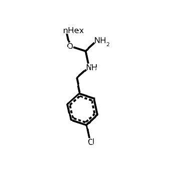 CCCCCCOC(N)NCc1ccc(Cl)cc1